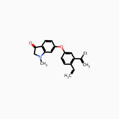 C=Cc1ccc(Oc2ccc3c(c2)N(C)CC3=O)cc1C(=C)CC